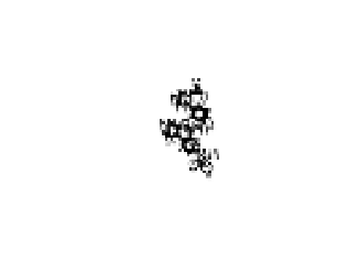 COC(=O)Nc1ccc(-c2ccncc2)c(C(=O)Nc2cccc(-c3nncn3C3CC3)c2)n1